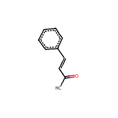 N#CC(=O)C=Cc1ccccc1